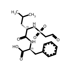 CC(C)C[C@H](NS(=O)(=O)CC=O)C(=O)N[C@@H](Cc1ccccc1)C(=O)O